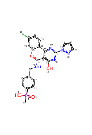 CP(=O)(O)c1ccc(CNC(=O)c2c(O)nc(-n3cccn3)nc2-c2ccc(F)cc2)cc1